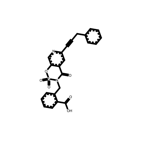 O=C(O)c1ccccc1CN1C(=O)c2cc(C#CCc3ccccc3)ncc2OS1(=O)=O